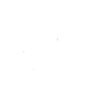 Nc1ncc(S(=O)(=O)O)cc1Br.[NaH]